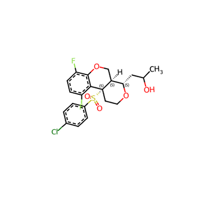 CC(O)C[C@@H]1OCC[C@@]2(S(=O)(=O)c3ccc(Cl)cc3)c3c(F)ccc(F)c3OC[C@@H]12